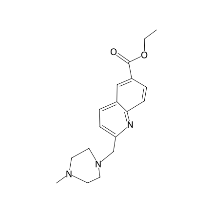 CCOC(=O)c1ccc2nc(CN3CCN(C)CC3)ccc2c1